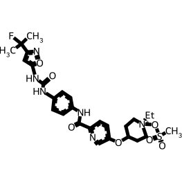 CC[N+]1(OS(C)(=O)=O)CCC(Oc2ccc(C(=O)Nc3ccc(NC(=O)Nc4cc(C(C)(C)F)no4)cc3)nc2)CC1